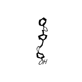 Oc1ccc(OCc2ccc(COc3ccccc3)cc2)cc1